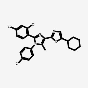 Cc1c(-c2ncc(C3CCCCC3)s2)nc(-c2ccc(Cl)cc2Cl)n1-c1ccc(Cl)cc1